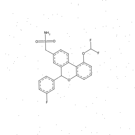 NS(=O)(=O)Cc1ccc2c(c1)C(c1cccc(F)c1)Oc1cccc(OC(F)F)c1-2